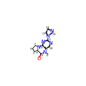 CN1C(=O)C2CCCN2c2nc(-n3ccnc3)ncc21